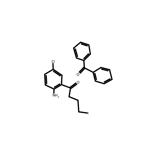 Nc1ccc(Cl)cc1C(=O)CCCI.O=C(c1ccccc1)c1ccccc1